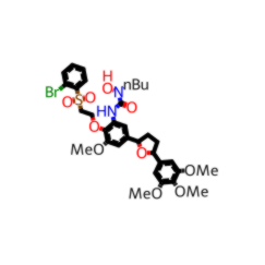 CCCCN(O)C(=O)Nc1cc(C2CCC(c3cc(OC)c(OC)c(OC)c3)O2)cc(OC)c1OCCS(=O)(=O)c1ccccc1Br